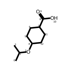 CC(C)OC1CCC(C(=O)O)CC1